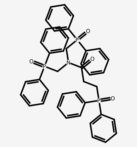 O=C(CCP(=O)(c1ccccc1)c1ccccc1)N(CP(=O)(c1ccccc1)c1ccccc1)CP(=O)(c1ccccc1)c1ccccc1